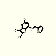 Cc1c(C(C)C)sc2c(NCc3ccco3)cc(Cl)nc12